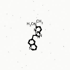 CN(C)c1ccc2nnc(Cc3ccc4ncccc4c3)n2n1